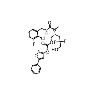 CN(C(=O)NCc1cccc(F)c1Cl)[C@H](COC(=O)Nc1cc(-c2ccccc2)on1)CC(F)(F)CO